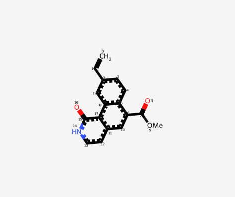 C=Cc1ccc2c(C(=O)OC)cc3cc[nH]c(=O)c3c2c1